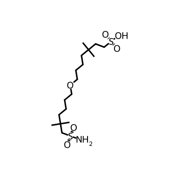 CC(C)(CCCCOCCCCC(C)(C)CS(N)(=O)=O)CCS(=O)(=O)O